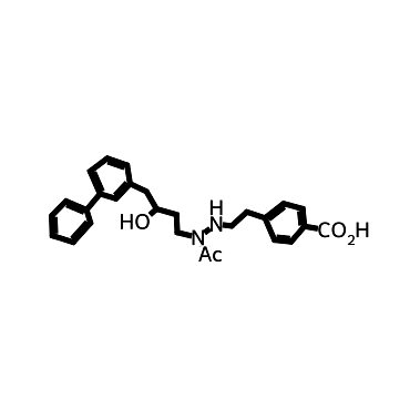 CC(=O)N(CCC(O)Cc1cccc(-c2ccccc2)c1)NCCc1ccc(C(=O)O)cc1